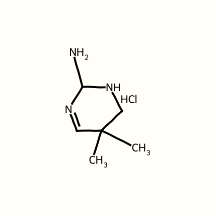 CC1(C)C=NC(N)NC1.Cl